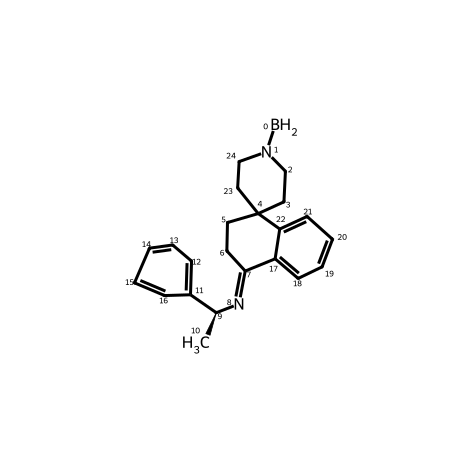 BN1CCC2(CC/C(=N\[C@@H](C)c3ccccc3)c3ccccc32)CC1